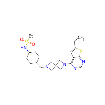 CCS(=O)(=O)N[C@H]1CC[C@H](CN2CC3(C2)CN(c2ncnc4sc(CC(F)(F)F)cc24)C3)CC1